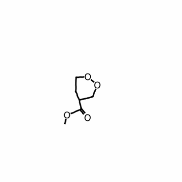 COC(=O)C1CCOOC1